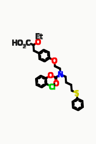 CCOC(Cc1ccc(OCCN(CCCCSc2ccccc2)C(=O)Oc2ccccc2Cl)cc1)C(=O)O